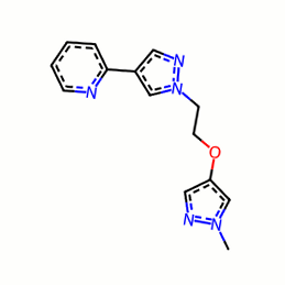 Cn1cc(OCCn2cc(-c3ccccn3)cn2)cn1